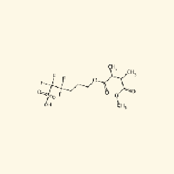 COC(=O)C(C)C(C)C(=O)OCCCC(F)(F)C(F)(F)S(=O)(=O)O